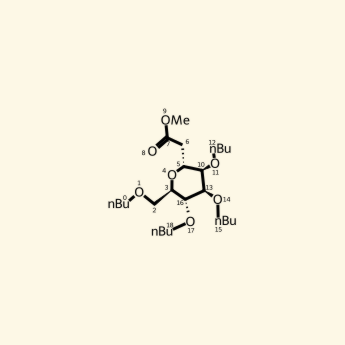 CCCCOC[C@H]1O[C@H](CC(=O)OC)[C@@H](OCCCC)[C@@H](OCCCC)[C@@H]1OCCCC